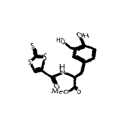 COC(=O)C(Cc1ccc(O)c(O)c1)NC(=O)c1csc(=S)s1